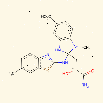 CN1c2ccc(C(=O)O)cc2NC1(C[C@@H](O)C(N)=O)Nc1nc2ccc(C(F)(F)F)cc2s1